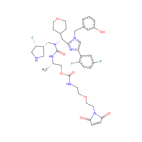 C[C@@H](COC(=O)NCCOCCN1C(=O)C=CC1=O)NC(=O)N(C[C@@H]1CNC[C@@H]1F)[C@@H](c1nc(-c2cc(F)ccc2F)cn1Cc1cccc(O)c1)C1CCOCC1